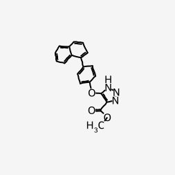 COC(=O)c1nn[nH]c1Oc1ccc(-c2cccc3ccccc23)cc1